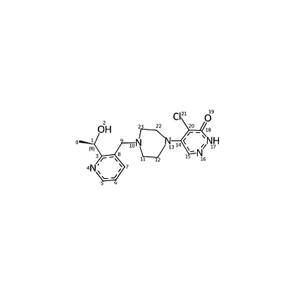 C[C@@H](O)c1ncccc1CN1CCN(c2cn[nH]c(=O)c2Cl)CC1